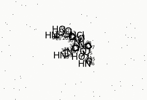 Cl.O=C(O)[C@@H](Cc1cccc(-n2c(=O)n(-c3cccc(C[C@H](C(=O)O)[C@H]4CCNC4)c3)c3cc(N4CCNCC4)ccc32)c1)[C@H]1CCNC1